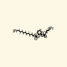 CC(C)CCCCCCCCCCOC(=O)OC1CCCCC1OC(=O)OCCCC(C)C